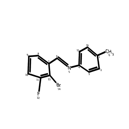 Cc1ccc(N=Cc2cccc(F)c2Br)cc1